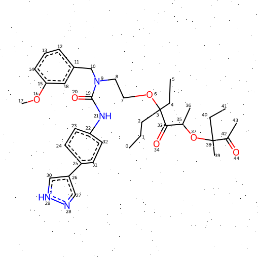 CCCC(CC)(OCCN(Cc1cccc(OC)c1)C(=O)Nc1ccc(-c2cn[nH]c2)cc1)C(=O)C(C)OC(C)(CC)C(C)=O